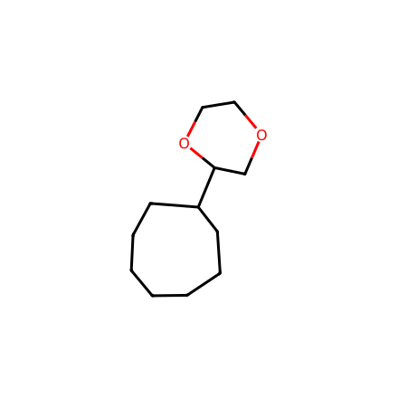 C1CCCC(C2COCCO2)CCC1